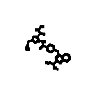 C#CCN1C[C@H](C(=O)NO)[C@H](NC(=O)c2ccc(Cc3cc(C(C)C)nc4ccccc34)cc2)C1